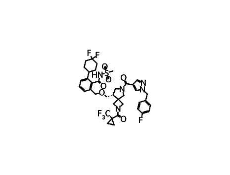 CS(=O)(=O)NC(=O)c1c(COC[C@@H]2CN(C(=O)c3cnn(Cc4ccc(F)cc4)c3)CC23CN(C(=O)C2(C(F)(F)F)CC2)C3)cccc1C1CCC(F)(F)CC1